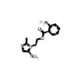 Cc1ncc([N+](=O)[O-])n1CCOC(=O)c1ccccc1[N+](=O)[O-]